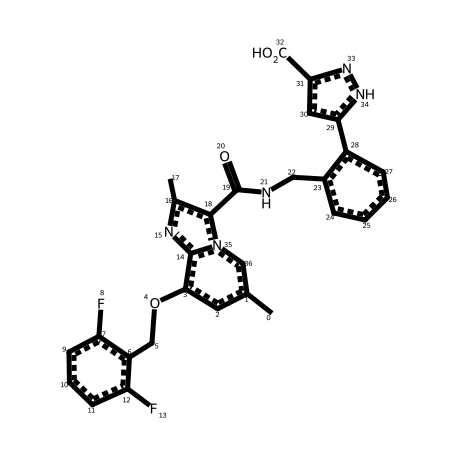 Cc1cc(OCc2c(F)cccc2F)c2nc(C)c(C(=O)NCc3ccccc3-c3cc(C(=O)O)n[nH]3)n2c1